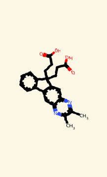 Cc1nc2cc3c(cc2nc1C)C(CCC(=O)O)(CCC(=O)O)c1ccccc1-3